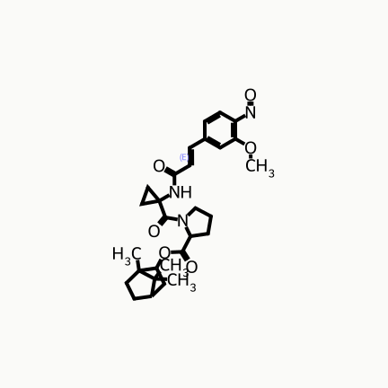 COc1cc(/C=C/C(=O)NC2(C(=O)N3CCCC3C(=O)OC3CC4CCC3(C)C4(C)C)CC2)ccc1N=O